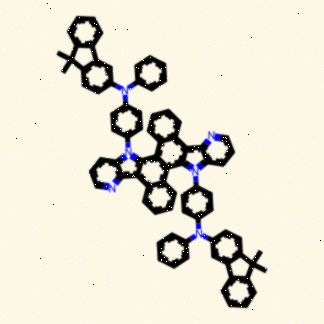 CC1(C)c2ccccc2-c2cc(N(c3ccccc3)c3ccc(-n4c5cccnc5c5c6ccccc6c6c(c7ccccc7c7c8ncccc8n(-c8ccc(N(c9ccccc9)c9ccc%10c(c9)-c9ccccc9C%10(C)C)cc8)c76)c54)cc3)ccc21